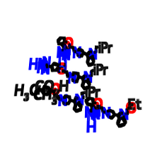 CC(C)CCn1cc(C2CCN(CCCC(=O)c3ccc(C(C)(C)C(=O)O)cc3)CC2)c2ccccc21.CC(C)CCn1cc(C2CCN(CCCOc3ccc(-c4nn[nH]n4)cc3)CC2)c2ccccc21.CC(C)CCn1cc(C2CCN(CCCOc3ccccc3-c3nn[nH]n3)CC2)c2ccccc21.CCOCCn1cc(C2CCN(CCCOc3ccccc3-c3nn[nH]n3)CC2)c2ccccc21